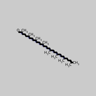 CC(C)=CCC/C(C)=C/C=C/C(C)=C/C=C/C(C)=C/C=C/C=C(C)/C=C/C=C(C)/C=C/C=C(\C)CC/C=C(\C)C=O